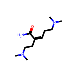 CN(C)CCC=C(CCN(C)C)C(N)=O